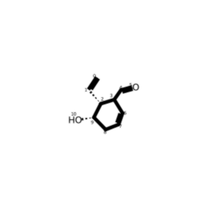 C=C[C@@H]1C(C=O)C=CC[C@@H]1O